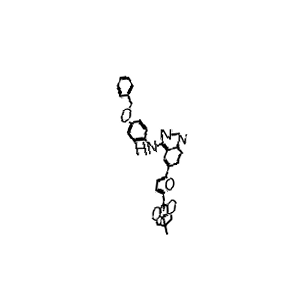 CC12COC(c3ccc(-c4ccc5ncnc(Nc6ccc(OCc7ccccc7)cc6)c5c4)o3)(OC1)OC2